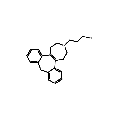 OCCCN1CCC2=C(CC1)c1ccccc1Sc1ccccc12